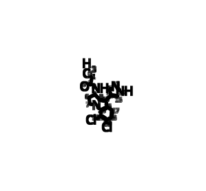 CCC(=O)NC1CCn2c1c(-c1cn[nH]c1)c1ccc(Cl)c(Cl)c12